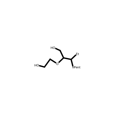 CCCCCC(CC)C(CO)OCCO